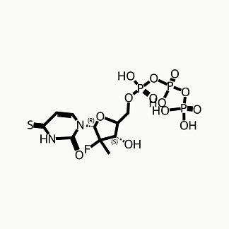 CC1(F)[C@@H](O)C(COP(=O)(O)OP(=O)(O)OP(=O)(O)O)O[C@H]1n1ccc(=S)[nH]c1=O